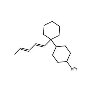 CC=CC=CC1(C2CCC(CCC)CC2)CCCCC1